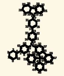 C1=CCCC(c2ccc(N(c3ccc(C4=CCC(N5c6ccccc6C6C=CCCC65)C=C4)cc3)c3ccc4c(c3)C(c3ccccc3)(c3ccccc3)c3ccccc3-4)cc2)=C1